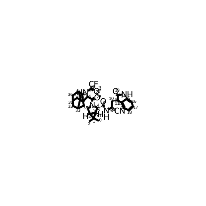 CC1(C)[C@@H]2[C@@H](C(=O)N[C@H](C#N)C[C@H]3C(=O)Nc4ccccc43)N(C(=O)C(NC(=O)C(F)(F)F)C34CC5CC(CC(C5)C3)C4)C[C@@H]21